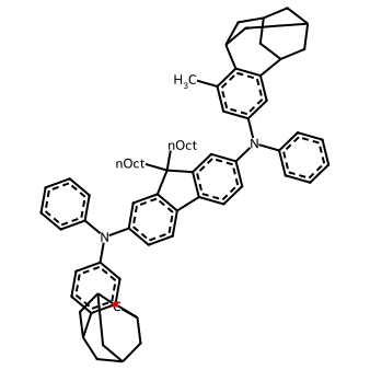 CCCCCCCCC1(CCCCCCCC)c2cc(N(c3ccccc3)c3ccc4c(c3)C3CC5CC(CC4C5)C3)ccc2-c2ccc(N(c3ccccc3)c3cc(C)c4c(c3)C3CC5CC(C3)CC4C5)cc21